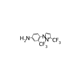 Nc1ccc(-n2ccc(C(F)(F)F)n2)c(C(F)(F)F)c1